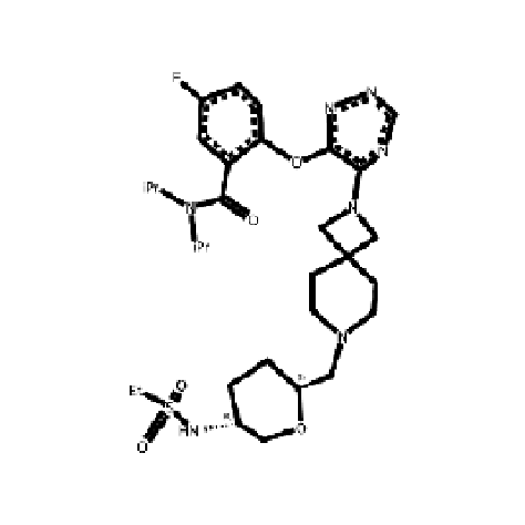 CCS(=O)(=O)N[C@@H]1CC[C@@H](CN2CCC3(CC2)CN(c2ncnnc2Oc2ccc(F)cc2C(=O)N(C(C)C)C(C)C)C3)OC1